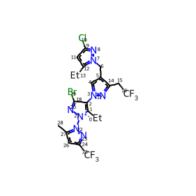 CCC1=C(n2cc(Cn3nc(Cl)cc3CC)c(CC(F)(F)F)n2)C(Br)=N[N+]1n1nc(C(F)(F)F)cc1C